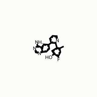 Cc1cc(F)c(O)cc1-c1ncccc1-c1ccc2ncnc(N)c2c1